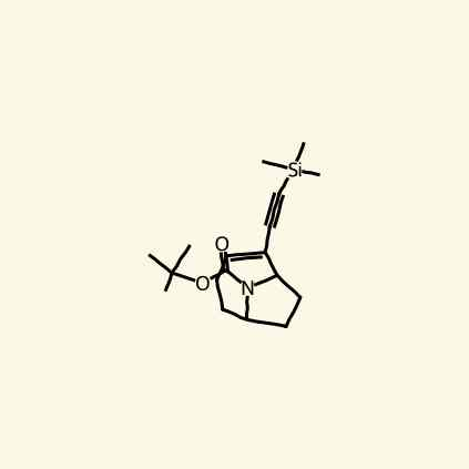 CC(C)(C)OC(=O)N1C2CCC=C(C#C[Si](C)(C)C)C1CC2